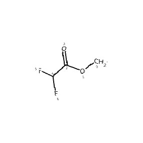 [CH2]OC(=O)C(F)F